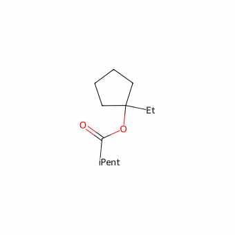 CCCC(C)C(=O)OC1(CC)CCCC1